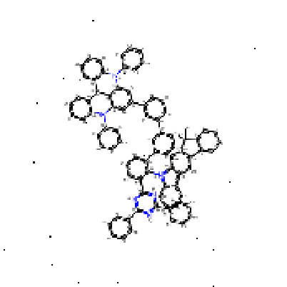 CC1(C)c2ccccc2-c2cc3c4ccccc4n(-c4c(-c5cccc(-c6cccc(-c7cc8c9c(c7)N(c7ccccc7)c7ccccc7B9c7ccccc7N8c7ccccc7)c6)c5)cccc4-c4nc(-c5ccccc5)nc(-c5ccccc5)n4)c3cc21